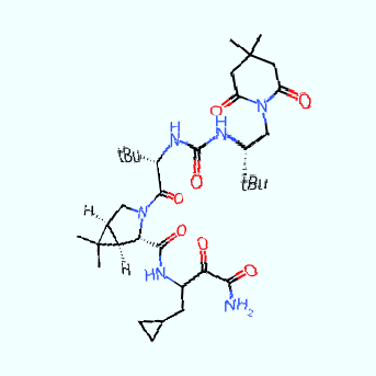 CC1(C)CC(=O)N(C[C@@H](NC(=O)N[C@H](C(=O)N2C[C@H]3[C@@H]([C@H]2C(=O)NC(CC2CC2)C(=O)C(N)=O)C3(C)C)C(C)(C)C)C(C)(C)C)C(=O)C1